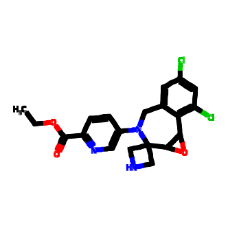 CCOC(=O)c1ccc(N2Cc3cc(Cl)cc(Cl)c3C3OC3C23CNC3)cn1